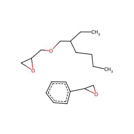 CCCCC(CC)COCC1CO1.c1ccc(C2CO2)cc1